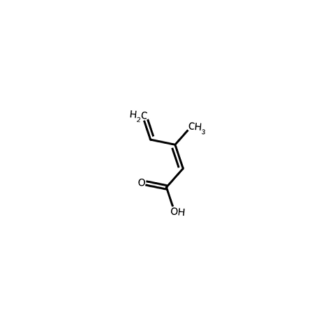 C=C/C(C)=C\C(=O)O